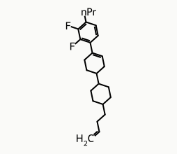 C=CCCC1CCC(C2CC=C(c3ccc(CCC)c(F)c3F)CC2)CC1